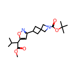 COC(=O)C(c1cc(C2CC3(C2)CN(C(=O)OC(C)(C)C)C3)no1)C(C)C